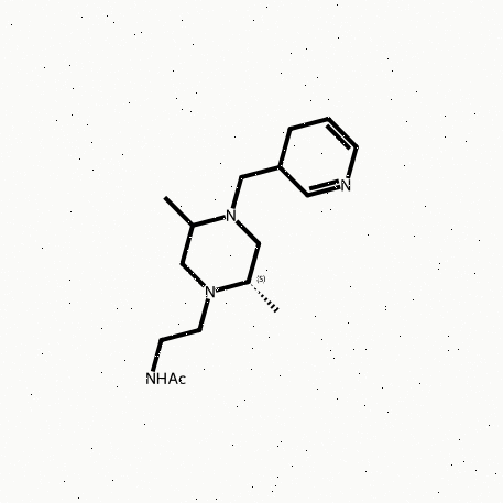 CC(=O)NCCN1CC(C)N(CC2C=NC=CC2)C[C@@H]1C